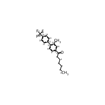 CCCCCCC(=O)c1ccc(-c2ccc(C(F)(F)F)cc2)c(C)c1